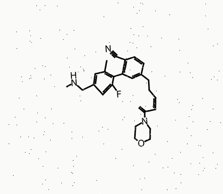 C=C(/C=C\CCc1ccc(C#N)c(-c2c(C)cc(CNC)cc2F)c1)N1CCOCC1